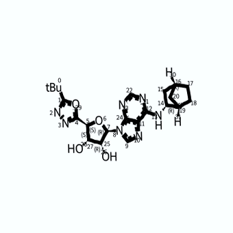 CC(C)(C)c1nnc([C@H]2O[C@@H](n3cnc4c(N[C@@H]5C[C@@H]6CC[C@H]5C6)ncnc43)[C@H](O)[C@@H]2O)o1